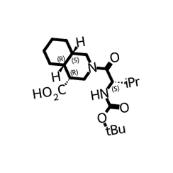 CC(C)[C@H](NC(=O)OC(C)(C)C)C(=O)N1C[C@H]2CCCC[C@H]2[C@@H](C(=O)O)C1